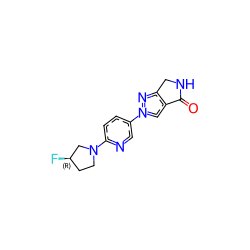 O=C1NCc2nn(-c3ccc(N4CC[C@@H](F)C4)nc3)cc21